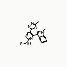 CCNc1ncc(-c2nnc(C)o2)c(-c2cn(C)c3ccccc23)n1